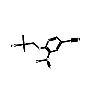 CC(C)(O)COc1ncc(C#N)cc1[N+](=O)[O-]